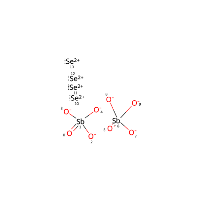 [O]=[Sb]([O-])([O-])[O-].[O]=[Sb]([O-])([O-])[O-].[Se+2].[Se+2].[Se+2].[Se+2]